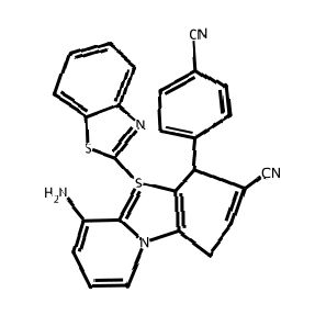 N#CC1=CCC2=C(C1c1ccc(C#N)cc1)S(c1nc3ccccc3s1)=C1C(N)=CC=CN21